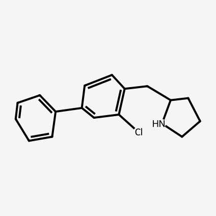 Clc1cc(-c2ccccc2)ccc1CC1CCCN1